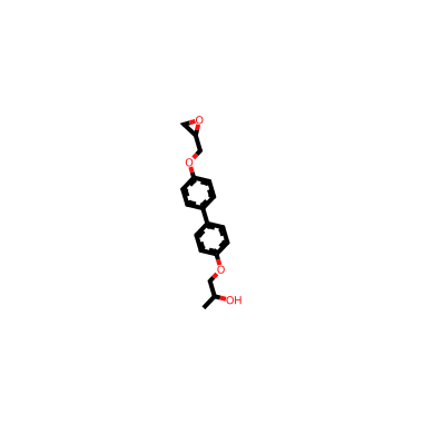 CC(O)COc1ccc(-c2ccc(OCC3CO3)cc2)cc1